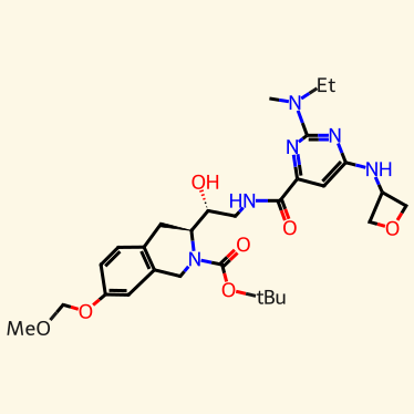 CCN(C)c1nc(NC2COC2)cc(C(=O)NC[C@@H](O)[C@@H]2Cc3ccc(OCOC)cc3CN2C(=O)OC(C)(C)C)n1